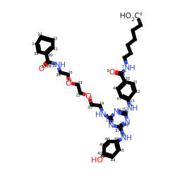 O=C(O)CCCCCCNC(=O)c1ccc(Nc2nc(NCCOCCOCCNC(=O)c3ccccc3)nc(Nc3ccc(O)cc3)n2)cc1